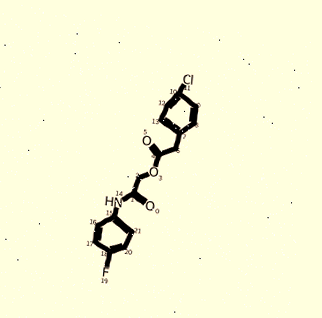 O=C(COC(=O)Cc1ccc(Cl)cc1)Nc1ccc(F)cc1